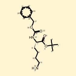 CC(C)(C)OC(=O)[C@H](CCCCN)NC(=O)OCc1ccccc1